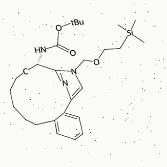 CC(C)(C)OC(=O)N[C@H]1CCCCCCc2ccccc2-c2cn(COCC[Si](C)(C)C)c1n2